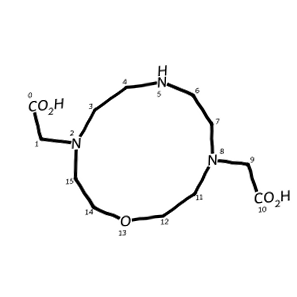 O=C(O)CN1CCNCCN(CC(=O)O)CCOCC1